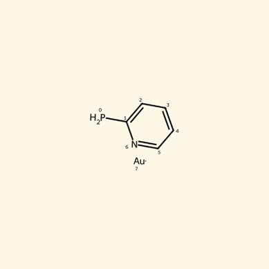 Pc1ccccn1.[Au]